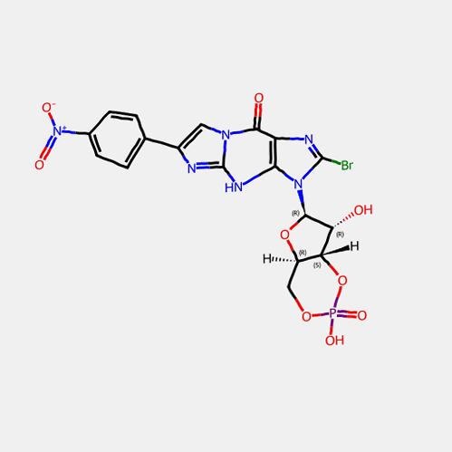 O=c1c2nc(Br)n([C@@H]3O[C@@H]4COP(=O)(O)O[C@H]4[C@H]3O)c2[nH]c2nc(-c3ccc([N+](=O)[O-])cc3)cn12